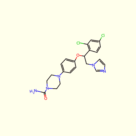 NC(=O)N1CCN(c2ccc(OC(Cn3ccnc3)c3ccc(Cl)cc3Cl)cc2)CC1